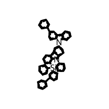 c1ccc(-c2cccc([Si]3(c4ccccc4)c4ccccc4-n4c5ccc(-n6c7ccccc7c7cc(-c8ccccc8)ccc76)cc5c5cccc3c54)c2)cc1